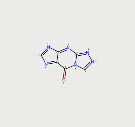 O=c1c2c(nc3nncn13)N=CN=2